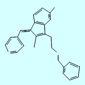 CC1=C(CCNCc2ccccc2)c2cc(F)ccc2C1=Cc1ccncc1